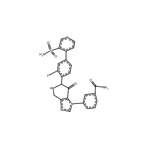 NC(=O)c1cccc(-n2cnc3c2C(=O)C(c2ccc(-c4ccncc4S(N)(=O)=O)cc2F)NC3)c1